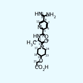 C[C@H](NC(=O)c1ccc(C(=N)N)cn1)C(=O)N1CCC(OCC(=O)O)CC1